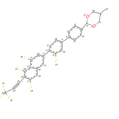 CC1COC(c2ccc(-c3ccc(-c4cc(F)c5c(F)c(C#CC(F)(F)F)c(F)cc5c4)c(F)c3)cc2)OC1